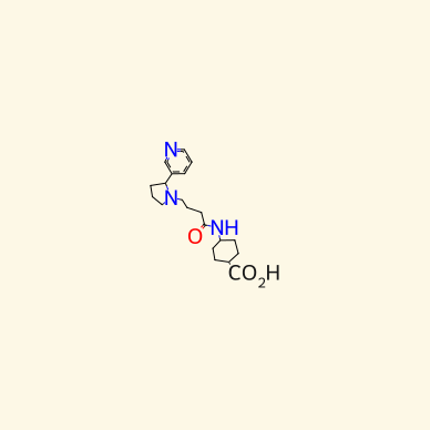 O=C(CCCN1CCCC1c1cccnc1)NC1CCC(C(=O)O)CC1